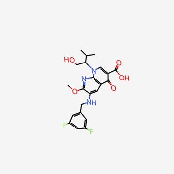 COc1nc2c(cc1NCc1cc(F)cc(F)c1)c(=O)c(C(=O)O)cn2C(CO)C(C)C